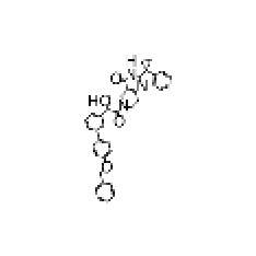 O=C(C(O)c1cccc(-c2ccc(OCc3ccccc3)cc2)c1)N1CCc2nc(C3(c4ccccc4)CC3)[nH]c(=O)c2C1